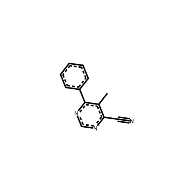 Cc1c(C#N)ncnc1-c1ccccc1